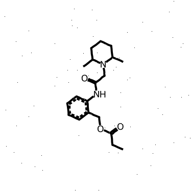 CCC(=O)OCc1ccccc1NC(=O)CN1C(C)CCCC1C